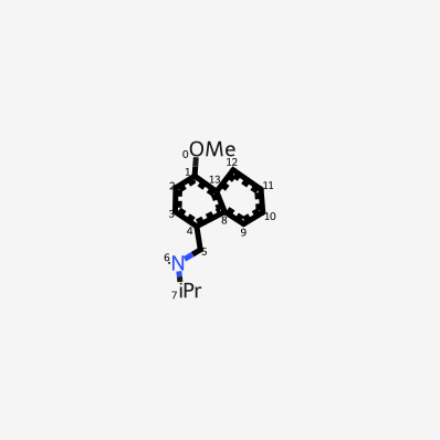 COc1ccc(C[N]C(C)C)c2ccccc12